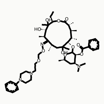 CC[C@H]1OC(=O)[C@H](C)[C@@H](C)[C@H](C)[C@H](OC2O[C@H](C)C[C@H](N(C)C)[C@@H]2OC(=O)c2ccccc2)C(C)(O)C[C@H](C)/C(=N\OCOCCN2CCN(c3ccccc3)CC2)[C@@H](C)[C@H](O)C1(C)O